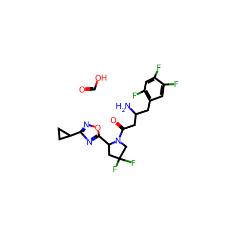 NC(CC(=O)N1CC(F)(F)CC1c1nc(C2CC2)no1)Cc1cc(F)c(F)cc1F.O=CO